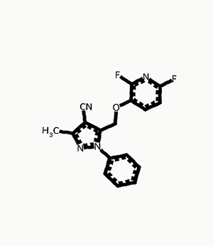 Cc1nn(-c2ccccc2)c(COc2ccc(F)nc2F)c1C#N